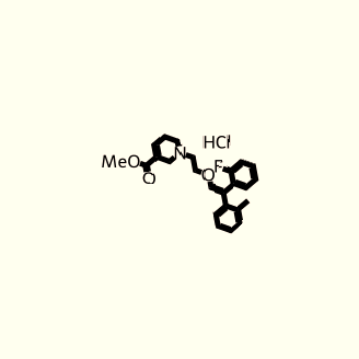 COC(=O)C1=CCCN(CCOC=C(c2ccccc2C)c2ccccc2F)C1.Cl